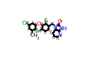 Cc1cc(Cl)cc(Oc2c(Br)ccc(Cn3c(=O)[nH]c4ncccc43)c2F)c1